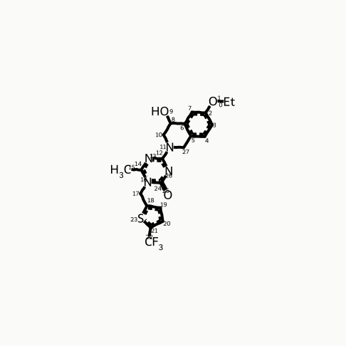 CCOc1ccc2c(c1)C(O)CN(c1nc(C)n(Cc3ccc(C(F)(F)F)s3)c(=O)n1)C2